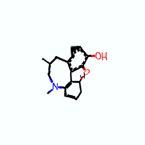 CC1Cc2ccc(O)c3c2C2=C(C=CC[C@@H]2O3)N(C)C1